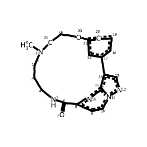 CN1CCCNC(=O)c2ccn3ncc(c3n2)-c2cccc(c2)OCC1